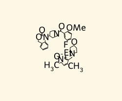 CCc1c(CN2CCC(Oc3cc(OC)c(C(=O)N4CCC(N5C(=O)OCc6ccccc65)CC4)cc3F)CC2)c(C)cc(C)[n+]1[O-]